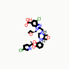 C[C@]1(c2ccc(Cl)cn2)Oc2cccc(N3CCN(Cc4nc5c(Cl)cc(C(=O)O)cc5n4C[C@@H]4CCO4)[C@@H]4COC[C@@H]43)c2O1